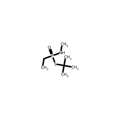 CCP(=O)(NC)SC(C)(C)C